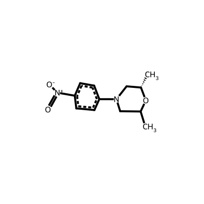 CC1CN(c2ccc([N+](=O)[O-])cc2)C[C@H](C)O1